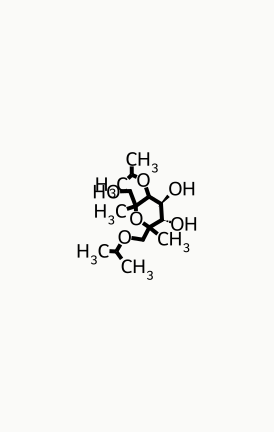 CC(C)OCC1(C)OC(C)(CO)C(OC(C)C)[C@@H](O)[C@@H]1O